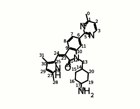 Cc1ccnc(-c2ccc3c(c2)N(CC2CCC(N)CC2)C(=O)/C3=C\c2[nH]c(C)cc2C)n1